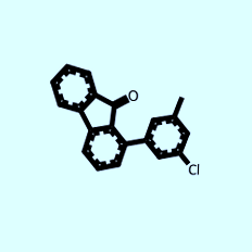 Cc1cc(Cl)cc(-c2cccc3c2C(=O)c2ccccc2-3)c1